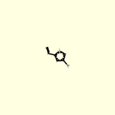 C=Cc1cc(Br)cs1